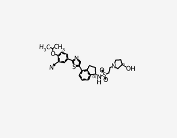 CC(C)Oc1ccc(-c2ncc(-c3cccc4c3CC[C@@H]4NS(=O)(=O)CCN3CC[C@@H](O)C3)s2)cc1C#N